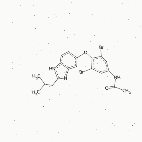 CC(=O)Nc1cc(Br)c(Oc2ccc3[nH]c(CC(C)C)nc3c2)c(Br)c1